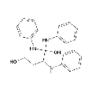 OCCC(Nc1ccccc1)C(O)(Nc1ccccc1)Nc1ccccc1